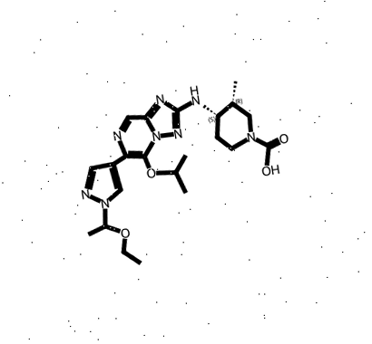 CCOC(C)n1cc(-c2ncc3nc(N[C@H]4CCN(C(=O)O)C[C@H]4C)nn3c2OC(C)C)cn1